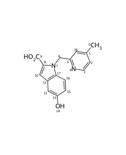 Cc1ccnc(Cn2c(C(=O)O)cc3cc(O)ccc32)c1